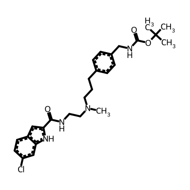 CN(CCCc1ccc(CNC(=O)OC(C)(C)C)cc1)CCNC(=O)c1cc2ccc(Cl)cc2[nH]1